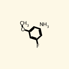 COc1cccc(F)c1.N